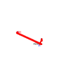 CCCCCCCCCCCC(CCCCCCCCCCC(=O)OCc1ccccc1)(C(=O)NCCOCCOCCOCCOCCOCCOCCOCCOCCOCCOCCOCCOCCOCCOCCOCCOCCOCCOCCOCCOCCOCCOCCOCCOCCC(=O)ON1C(=O)CCC1O)C(=O)OCc1ccccc1